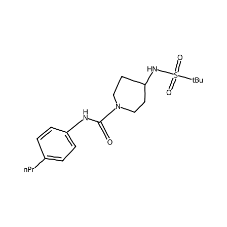 CCCc1ccc(NC(=O)N2CCC(NS(=O)(=O)C(C)(C)C)CC2)cc1